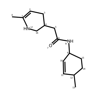 CC1=CCC(CC(=O)NC2C=CC(C)CC2)CN1